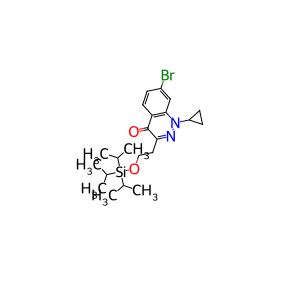 CC(C)[Si](OCCc1nn(C2CC2)c2cc(Br)ccc2c1=O)(C(C)C)C(C)C